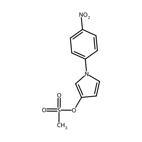 CS(=O)(=O)Oc1ccn(-c2ccc([N+](=O)[O-])cc2)c1